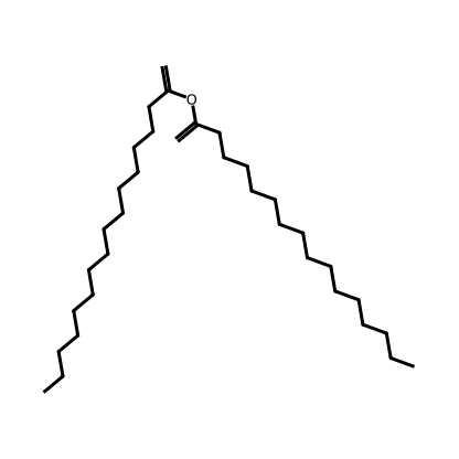 C=C(CCCCCCCCCCCCCCC)OC(=C)CCCCCCCCCCCCCCC